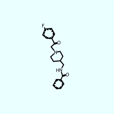 O=C(CN1CCC(CNC(=O)c2ccccc2)CC1)c1ccc(F)cc1